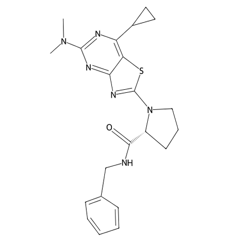 CN(C)c1nc(C2CC2)c2sc(N3CCC[C@@H]3C(=O)NCc3ccccc3)nc2n1